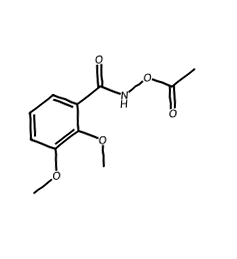 COc1cccc(C(=O)NOC(C)=O)c1OC